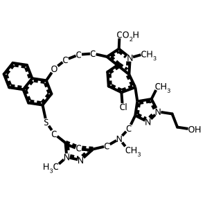 Cc1c2c(nn1CCO)CN(C)Cc1cc(n(C)n1)CSc1cc(c3ccccc3c1)OCCCc1c(C(=O)O)n(C)c3c-2c(Cl)ccc13